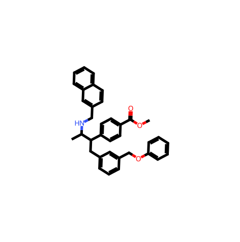 COC(=O)c1ccc(C(Cc2cccc(COc3ccccc3)c2)C(C)NCc2ccc3ccccc3c2)cc1